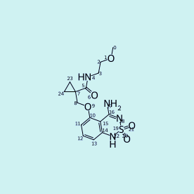 COCCNC(=O)C1(COc2cccc3c2C(N)=NS(=O)(=O)N3)CC1